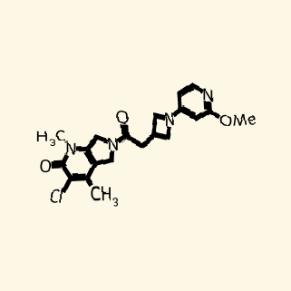 COc1cc(N2CC(CC(=O)N3Cc4c(C)c(Cl)c(=O)n(C)c4C3)C2)ccn1